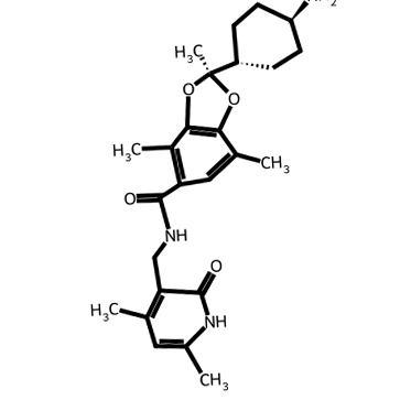 Cc1cc(C)c(CNC(=O)c2cc(C)c3c(c2C)O[C@@](C)([C@H]2CC[C@H](N)CC2)O3)c(=O)[nH]1